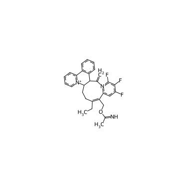 C=C1C2c3ccccc3-c3cccc[n+]3C2CC/C(CC)=C(/COC(C)=N)c2cc(F)c(F)c(F)[n+]21